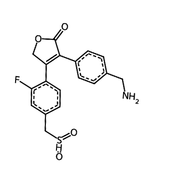 NCc1ccc(C2=C(c3ccc(C[SH](=O)=O)cc3F)COC2=O)cc1